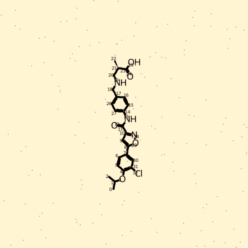 CC(C)Oc1ccc(-c2cc(C(=O)Nc3ccc(CNC[C@@H](C)C(=O)O)cc3)no2)cc1Cl